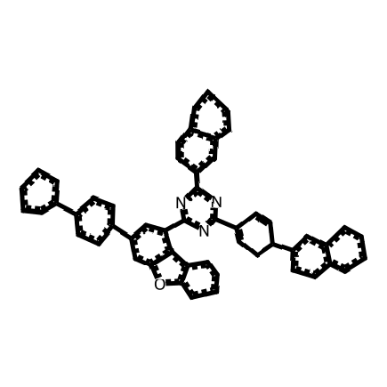 C1=CC(c2ccc3ccccc3c2)CC=C1c1nc(-c2ccc3ccccc3c2)nc(-c2cc(-c3ccc(-c4ccccc4)cc3)cc3oc4ccccc4c23)n1